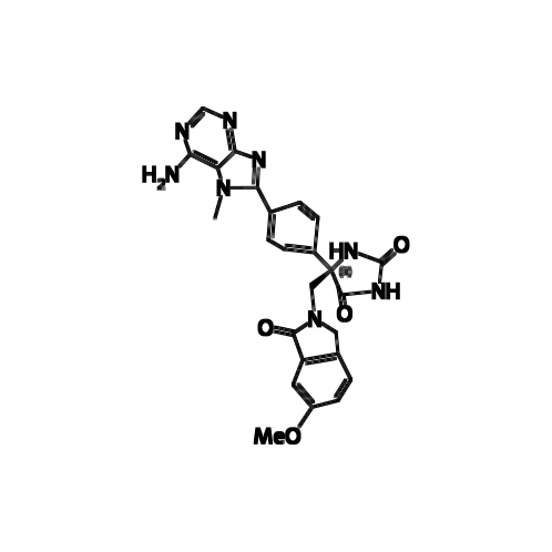 COc1ccc2c(c1)C(=O)N(C[C@@]1(c3ccc(-c4nc5ncnc(N)c5n4C)cc3)NC(=O)NC1=O)C2